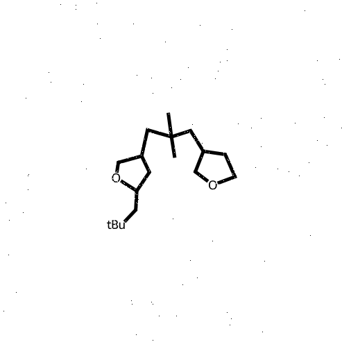 CC(C)(C)CC1CC(CC(C)(C)CC2CCOC2)CO1